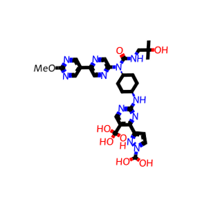 COc1ncc(-c2cnc(N(C(=O)NCC(C)(C)O)[C@H]3CC[C@H](Nc4ncc(C(O)(O)O)c(-c5ccn(C(O)O)n5)n4)CC3)cn2)cn1